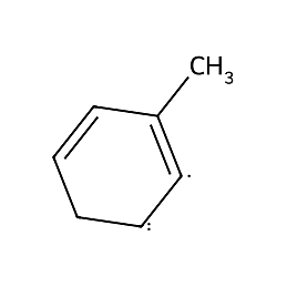 CC1=[C][C]CC=C1